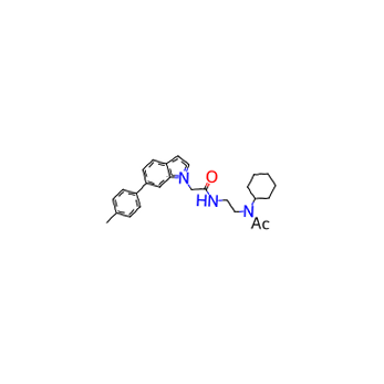 CC(=O)N(CCNC(=O)Cn1ccc2ccc(-c3ccc(C)cc3)cc21)C1CCCCC1